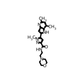 Cc1cc(C)c2[nH]c(-c3cc(C(=O)NCCN4CCOCC4)nn3C)cc2n1